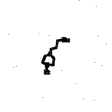 CCC(C)CCCN1CCN(CC)CC1